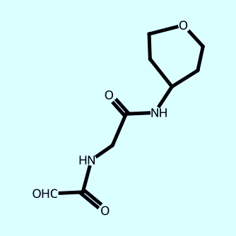 O=CC(=O)NCC(=O)NC1CCOCC1